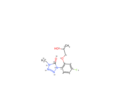 CC(O)COc1cc(F)ccc1-n1nnn(C)c1=O